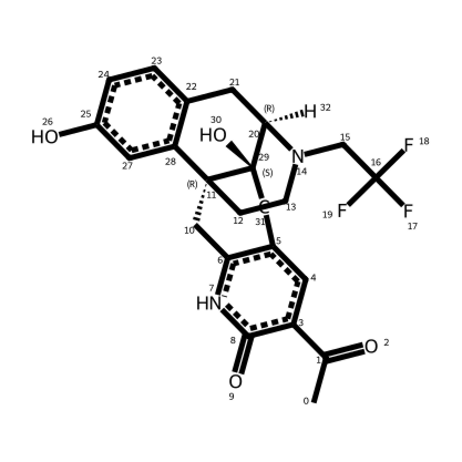 CC(=O)c1cc2c([nH]c1=O)C[C@]13CCN(CC(F)(F)F)[C@H](Cc4ccc(O)cc41)[C@]3(O)C2